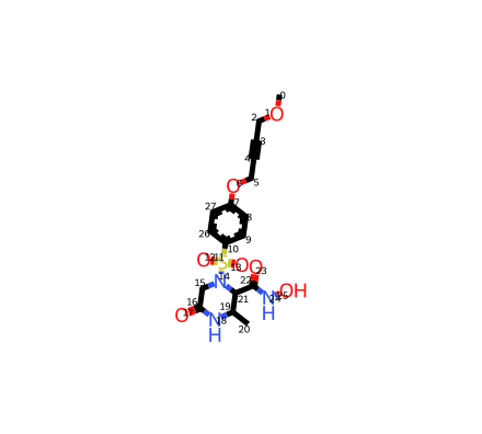 COCC#CCOc1ccc(S(=O)(=O)N2CC(=O)NC(C)C2C(=O)NO)cc1